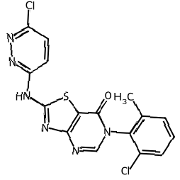 Cc1cccc(Cl)c1-n1cnc2nc(Nc3ccc(Cl)nn3)sc2c1=O